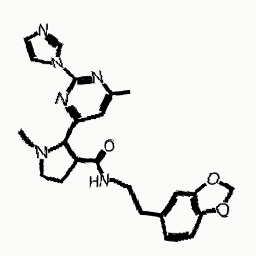 Cc1cc(C2C(C(=O)NCCc3ccc4c(c3)OCO4)CCN2C)nc(-n2ccnc2)n1